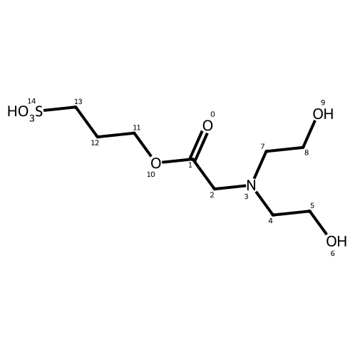 O=C(CN(CCO)CCO)OCCCS(=O)(=O)O